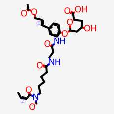 C/C=C\C(=O)N(C=O)CCCCCC(=O)NCCC(=O)Nc1cc(/C=C/COC(C)=O)ccc1OC1CC(O)CC(C(=O)O)O1